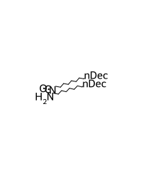 CCCCCCCCCCCCCCCCCCN.CCCCCCCCCCCCCCCCCCN=C=O